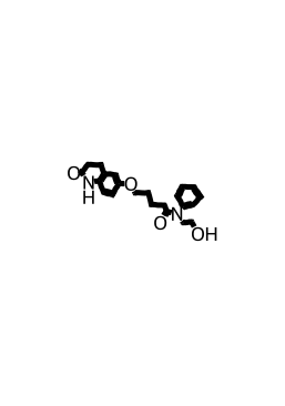 O=C1CCc2cc(OCCCCC(=O)N(CCO)c3ccccc3)ccc2N1